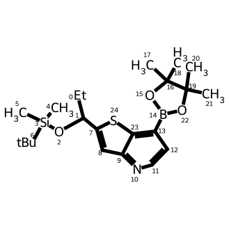 CCC(O[Si](C)(C)C(C)(C)C)c1cc2nccc(B3OC(C)(C)C(C)(C)O3)c2s1